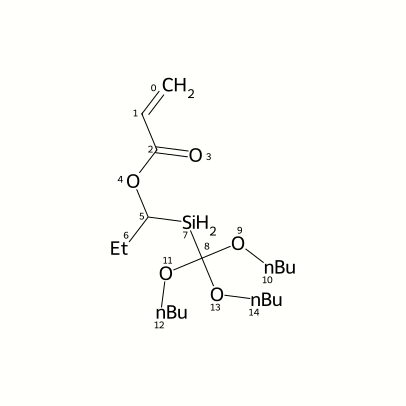 C=CC(=O)OC(CC)[SiH2]C(OCCCC)(OCCCC)OCCCC